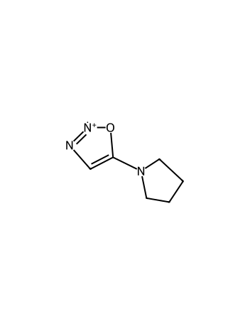 C1=C(N2CCCC2)O[N+]=N1